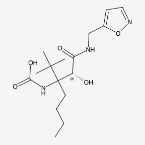 CCCCC(NC(=O)O)([C@@H](O)C(=O)NCc1ccno1)C(C)(C)C